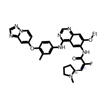 CCOc1cc2ncnc(Nc3ccc(Oc4ccn5ncnc5c4)c(C)c3)c2cc1NC(=O)/C(F)=C\[C@@H]1CCCN1C